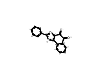 O=C1C(=O)c2oc(-c3ccccc3)nc2-c2ccccc21